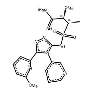 CNC(=N)[C@@H](OC)[C@H](C)S(=O)(=O)Nc1nnc(-c2cccc(OC)n2)n1-c1cccnc1